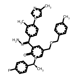 Cc1ccc(COCc2cc(/C(=N/N)c3ccc(-n4cnc(C)c4)c(C)c3)c(=O)n([C@@H](C)c3ccc(F)cc3)c2)cc1